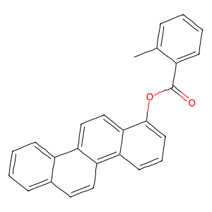 Cc1ccccc1C(=O)Oc1cccc2c1ccc1c3ccccc3ccc21